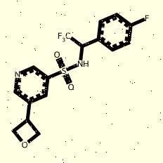 O=S(=O)(NC(c1ccc(F)cc1)C(F)(F)F)c1cncc(C2COC2)c1